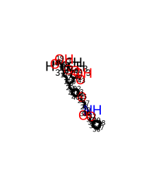 CC(C)(C)OC(=O)CC(CC(CCCCCCC(=O)O)Cc1ccc(OCCCNC(=O)OCc2ccccc2)cc1)C(=O)O